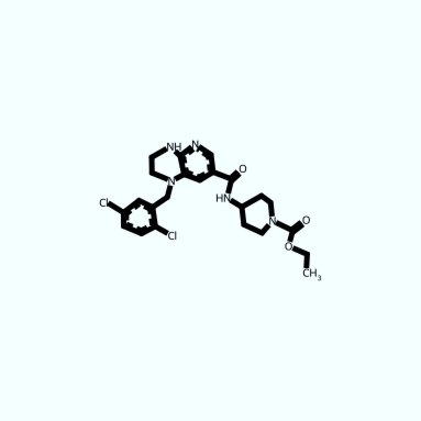 CCOC(=O)N1CCC(NC(=O)c2cnc3c(c2)N(Cc2cc(Cl)ccc2Cl)CCN3)CC1